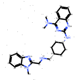 CN(C)c1nc(N[C@H]2CC[C@@H](CNCc3nc4ccccc4n3C)CC2)nc2ccccc12